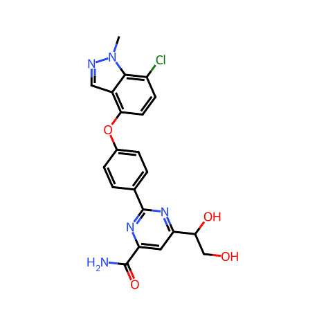 Cn1ncc2c(Oc3ccc(-c4nc(C(N)=O)cc(C(O)CO)n4)cc3)ccc(Cl)c21